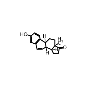 C[C@]12CC[C@@H]3c4ccc(O)cc4C=C[C@H]3[C@@H]1CCC2=O